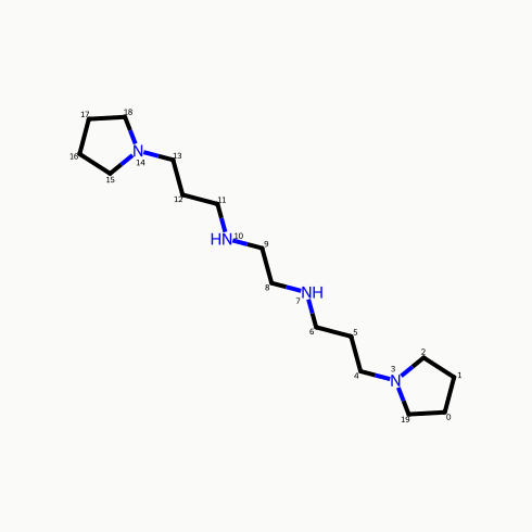 C1CCN(CCCNCCNCCCN2CCCC2)C1